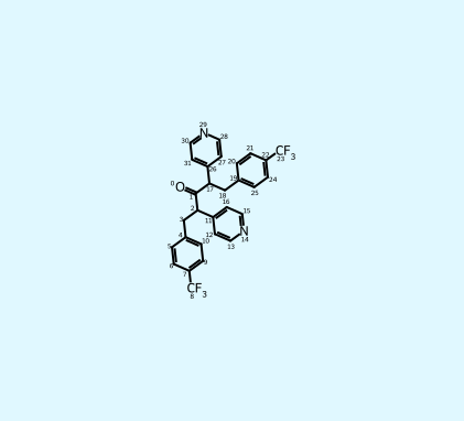 O=C(C(Cc1ccc(C(F)(F)F)cc1)c1ccncc1)C(Cc1ccc(C(F)(F)F)cc1)c1ccncc1